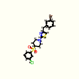 O=S(=O)(c1cccc(Cl)c1)C1CCN(c2nc(Cc3cccc(Br)c3)cs2)CC1